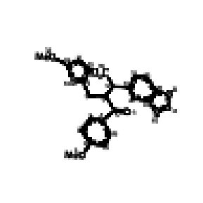 COc1ccc(C(=O)C(Cc2ccc(OC)s2)C(C(=O)O)c2ccc3nsnc3c2)cc1